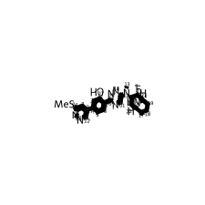 CSc1cc(-c2ccc(-c3ncc(N(C)[C@H]4C[C@@H]5CCC[C@@H](N5)[C@H]4F)nn3)c(O)c2)cnn1